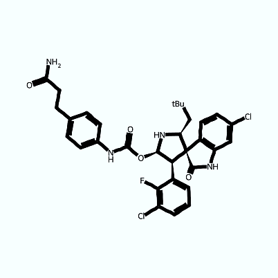 CC(C)(C)C[C@@H]1N[C@H](OC(=O)Nc2ccc(CCC(N)=O)cc2)[C@H](c2cccc(Cl)c2F)[C@]12C(=O)Nc1cc(Cl)ccc12